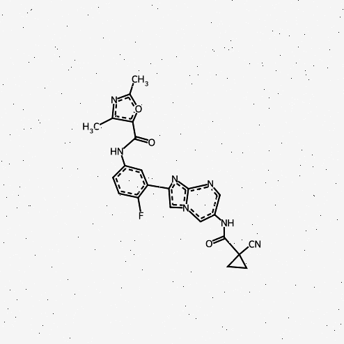 Cc1nc(C)c(C(=O)Nc2ccc(F)c(-c3cn4cc(NC(=O)C5(C#N)CC5)cnc4n3)c2)o1